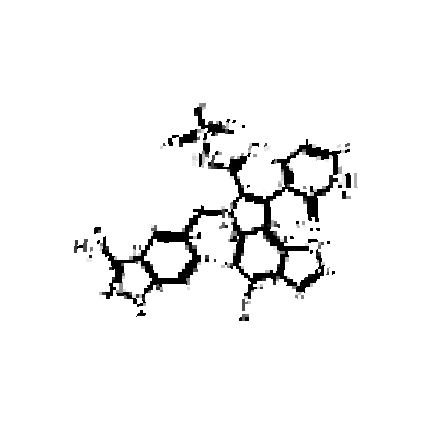 CS(=O)(=O)NC(=O)c1c(-c2ccc[nH]c2=O)c2c3occc3c(F)cc2n1Cc1ccc2onc(N)c2c1